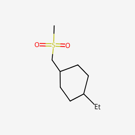 CCC1CCC(CS(C)(=O)=O)CC1